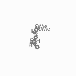 COc1cc2nccc(OC3=CC=C(NC(=O)C4(C(=O)NC5=CCCC=C5)CC4)CC3)c2cc1OC